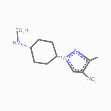 Cc1nn([C@H]2CC[C@@H](NC(=O)O)CC2)cc1[N+](=O)[O-]